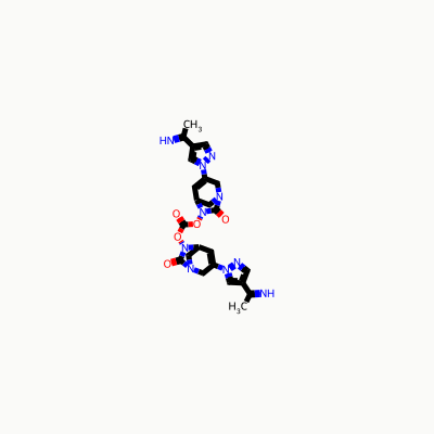 CC(=N)c1cnn(C2=CC3CN(C2)C(=O)N3OC(=O)ON2C(=O)N3CC(n4cc(C(C)=N)cn4)=CC2C3)c1